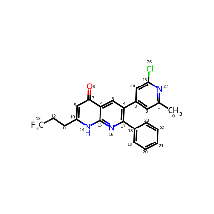 Cc1cc(-c2cc3c(=O)cc(CCC(F)(F)F)[nH]c3nc2-c2ccccc2)cc(Cl)n1